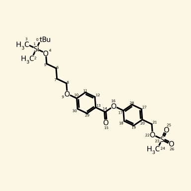 CC(C)(C)[Si](C)(C)OCCCCOc1ccc(C(=O)Oc2ccc(COS(C)(=O)=O)cc2)cc1